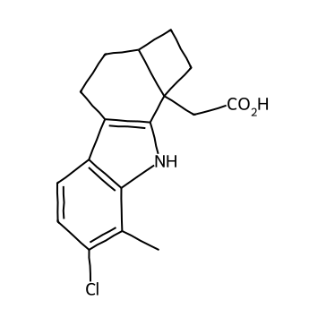 Cc1c(Cl)ccc2c3c([nH]c12)C1(CC(=O)O)CCC1CC3